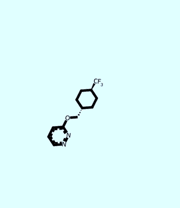 FC(F)(F)[C@H]1CC[C@H](COc2cccnn2)CC1